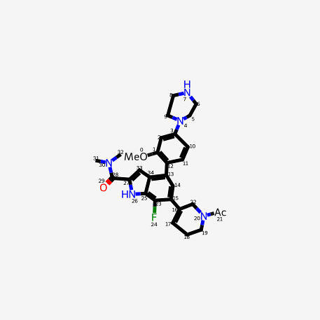 COc1cc(N2CCNCC2)ccc1-c1cc(C2=CCCN(C(C)=O)C2)c(F)c2[nH]c(C(=O)N(C)C)cc12